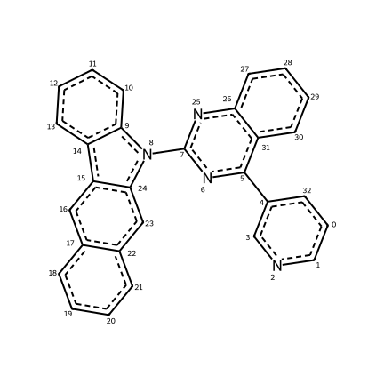 c1cncc(-c2nc(-n3c4ccccc4c4cc5ccccc5cc43)nc3ccccc23)c1